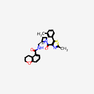 Cc1cccc(-c2sc(C)nc2C(=O)N2CC[C@@H]2CNC(=O)c2cccc3c2CCCO3)c1